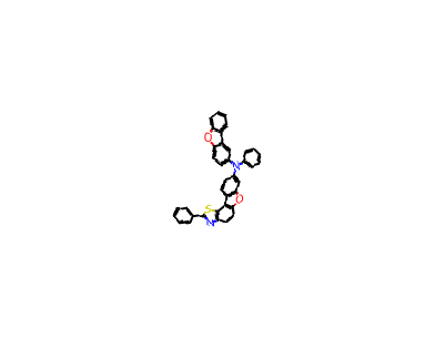 c1ccc(-c2nc3ccc4oc5cc(N(c6ccccc6)c6ccc7oc8ccccc8c7c6)ccc5c4c3s2)cc1